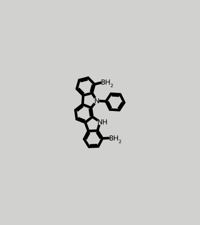 Bc1cccc2c1[nH]c1c2ccc2c3cccc(B)c3n(-c3ccccc3)c21